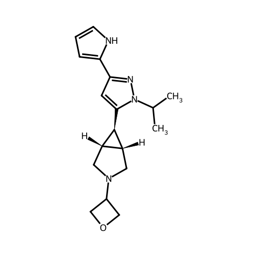 CC(C)n1nc(-c2ccc[nH]2)cc1[C@H]1[C@@H]2CN(C3COC3)C[C@@H]21